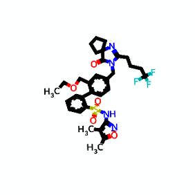 CCOCc1cc(CN2C(=O)C3(CCCC3)N=C2CCCC(F)(F)F)ccc1-c1ccccc1S(=O)(=O)Nc1noc(C)c1C